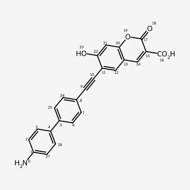 Nc1ccc(-c2ccc(C#Cc3cc4cc(C(=O)O)c(=O)oc4cc3O)cc2)cc1